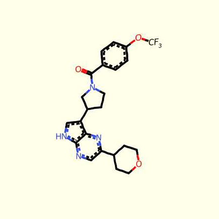 O=C(c1ccc(OC(F)(F)F)cc1)N1CCC(c2c[nH]c3ncc(C4CCOCC4)nc23)C1